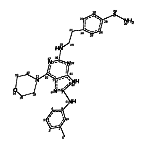 Cc1cccc(Nc2nc3c(N4CCOCC4)nc(NCCc4ccc(SN)cc4)nc3[nH]2)c1